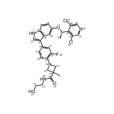 C[C@@H](Oc1ccc2[nH]nc(-c3cnc(N4CC(C)(C(=O)NCCO)C4)c(F)c3)c2c1)c1c(Cl)cncc1Cl